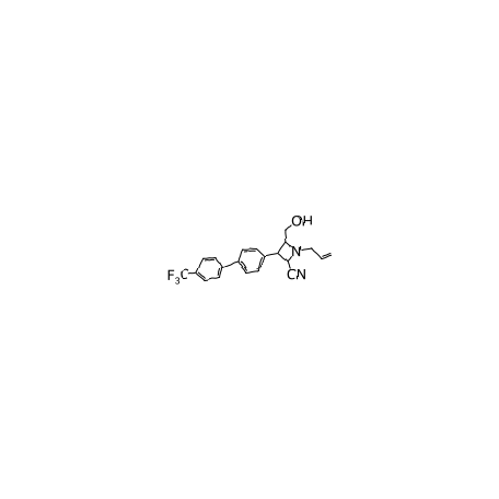 C=CCN1C(C#N)C(c2ccc(-c3ccc(C(F)(F)F)cc3)cc2)C1CO